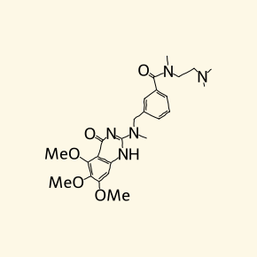 COc1cc2[nH]c(N(C)Cc3cccc(C(=O)N(C)CCN(C)C)c3)nc(=O)c2c(OC)c1OC